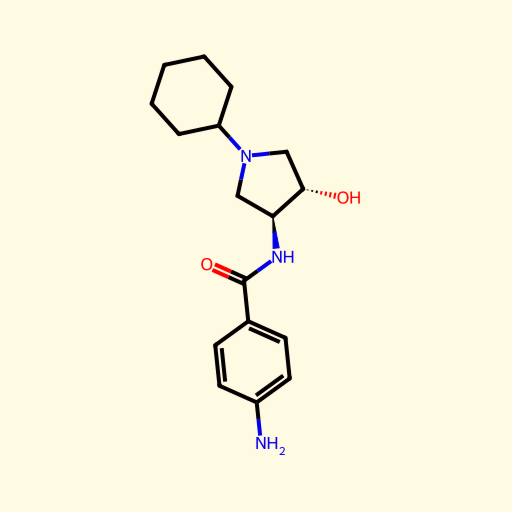 Nc1ccc(C(=O)N[C@H]2CN(C3CCCCC3)C[C@@H]2O)cc1